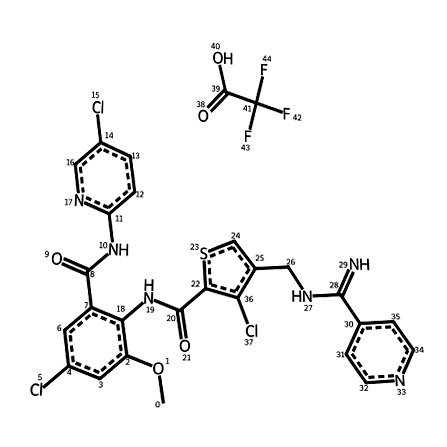 COc1cc(Cl)cc(C(=O)Nc2ccc(Cl)cn2)c1NC(=O)c1scc(CNC(=N)c2ccncc2)c1Cl.O=C(O)C(F)(F)F